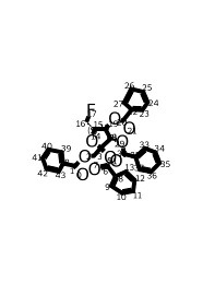 O=C(OCC1(OC(=O)c2ccccc2)O[C@H](CF)C(OC(=O)c2ccccc2)[C@H]1OC(=O)c1ccccc1)c1ccccc1